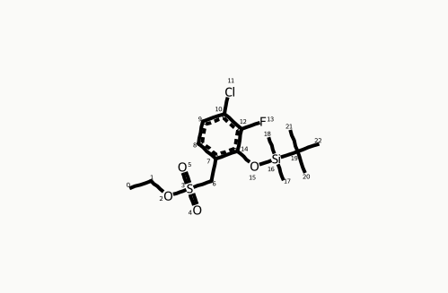 CCOS(=O)(=O)Cc1ccc(Cl)c(F)c1O[Si](C)(C)C(C)(C)C